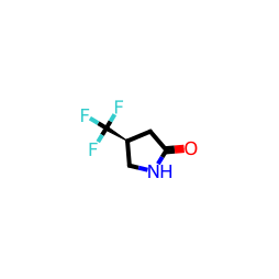 O=C1C[C@H](C(F)(F)F)CN1